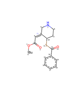 CC(C)(C)OC(=O)/C=C1/CNCCC1SC(=O)c1ccccc1